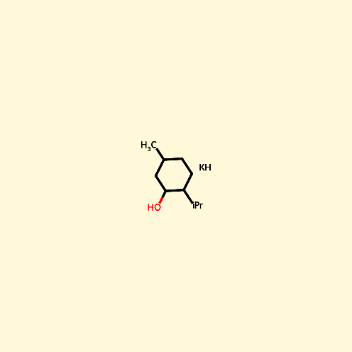 CC1CCC(C(C)C)C(O)C1.[KH]